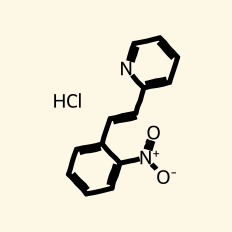 Cl.O=[N+]([O-])c1ccccc1C=Cc1ccccn1